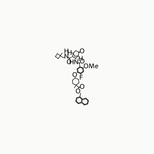 COc1cc(F)c(OC2CCC(C)(C(=O)OCc3cccc4ccccc34)CC2)cc1C(=O)N[C@H]1[C@@H](C(=O)NCC2(C)CCC2)[C@@H]2CC(=O)[C@H]1C2